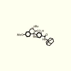 CCCC[C@H]1Cc2cc(OC)ccc2[C@@](c2ccc(C(=O)NC34CC5CC(CC(C5)C3)C4)cc2)(C(C)(C)C)N1C(=O)O